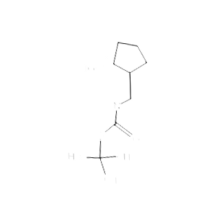 CC(C)(C)OC(=O)NCC1CCC[C@H]1O